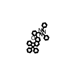 c1ccc(-c2nc(-c3ccccc3)nc(-c3cccc4oc5c(ccc6ccc7c(c65)-c5ccccc5C7(c5ccccc5)c5ccccc5)c34)n2)cc1